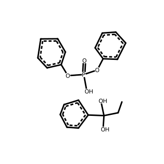 CCC(O)(O)c1ccccc1.O=P(O)(Oc1ccccc1)Oc1ccccc1